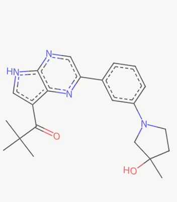 CC1(O)CCN(c2cccc(-c3cnc4[nH]cc(C(=O)C(C)(C)C)c4n3)c2)C1